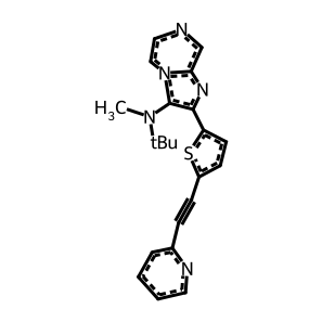 CN(c1c(-c2ccc(C#Cc3ccccn3)s2)nc2cnccn12)C(C)(C)C